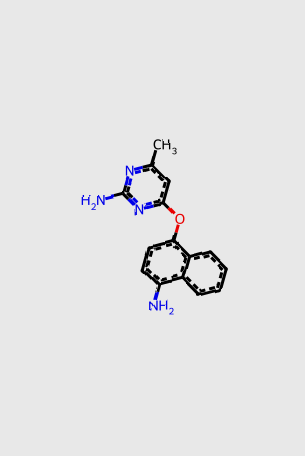 Cc1cc(Oc2ccc(N)c3ccccc23)nc(N)n1